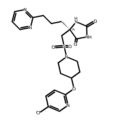 O=C1NC(=O)[C@@](CCCc2ncccn2)(CS(=O)(=O)N2CCC(Oc3ccc(Cl)cn3)CC2)N1